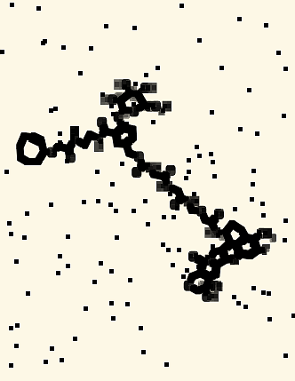 CC[C@@]1(O)COCc2c1cc1n(c2=O)Cc2c-1nc1cc(F)c(C)c3c1c2[C@@H](NC(=O)COCNC(=O)CNC(=O)CNC(=O)OCc1ccc(O[C@@H]2O[C@H](C(=O)O)[C@@H](O)[C@H](O)[C@H]2O)c(C(=O)NCCNC(=O)COC2C#CCCCCC2)c1)CC3